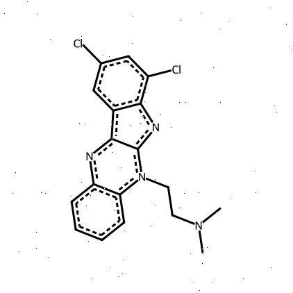 CN(C)CCn1c2nc3c(Cl)cc(Cl)cc3c-2nc2ccccc21